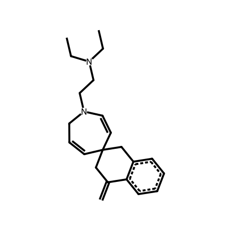 C=C1CC2(C=CCN(CCN(CC)CC)C=C2)Cc2ccccc21